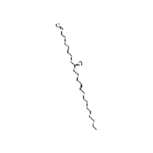 CCCCCCCCC/C=C/CCCC(=O)CCCCCCCC=O